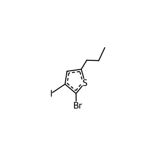 CCCc1cc(I)c(Br)s1